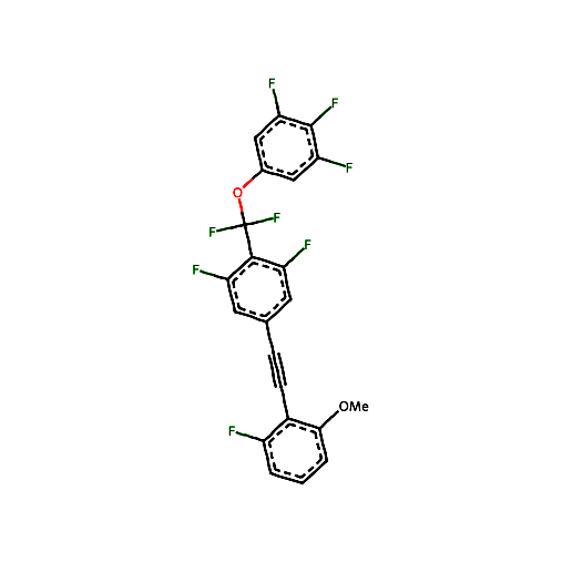 COc1cccc(F)c1C#Cc1cc(F)c(C(F)(F)Oc2cc(F)c(F)c(F)c2)c(F)c1